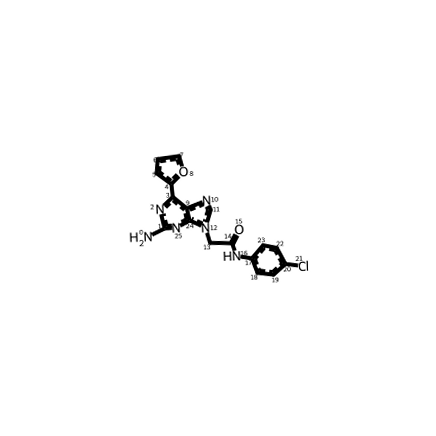 Nc1nc(-c2ccco2)c2ncn(CC(=O)Nc3ccc(Cl)cc3)c2n1